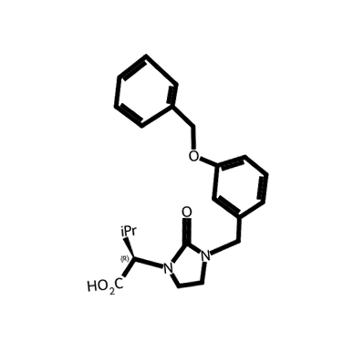 CC(C)[C@H](C(=O)O)N1CCN(Cc2cccc(OCc3ccccc3)c2)C1=O